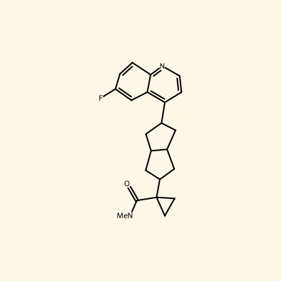 CNC(=O)C1(C2CC3CC(c4ccnc5ccc(F)cc45)CC3C2)CC1